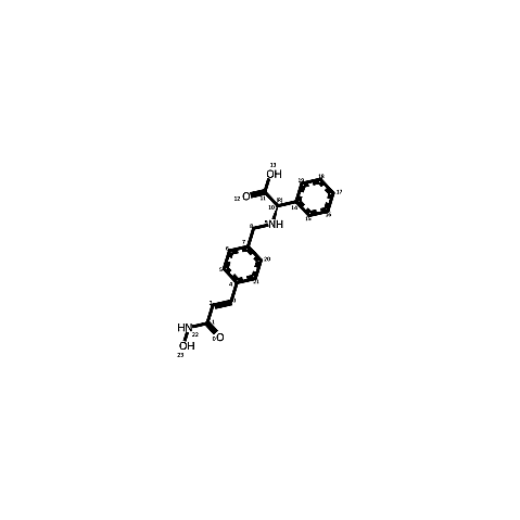 O=C(C=Cc1ccc(CN[C@@H](C(=O)O)c2ccccc2)cc1)NO